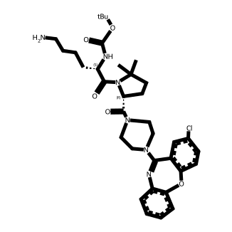 CC(C)(C)OC(=O)N[C@@H](CCCCN)C(=O)N1[C@@H](C(=O)N2CCN(C3=Nc4ccccc4Oc4ccc(Cl)cc43)CC2)CCC1(C)C